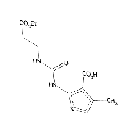 CCOC(=O)CCNC(=O)Nc1scc(C)c1C(=O)O